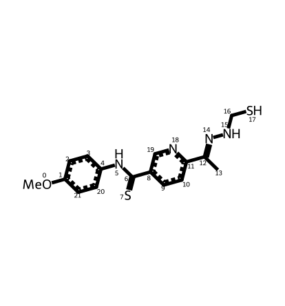 COc1ccc(NC(=S)c2ccc(C(C)=NNCS)nc2)cc1